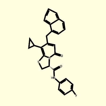 O=C(Nc1ccc(F)cc1)[C@@H]1CSc2c(C3CC3)c(Cc3cccc4ccccc34)cc(=O)n21